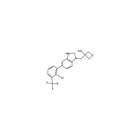 OC1(CN2CNc3cc(-c4cccc(C(F)(F)F)c4Cl)ccc32)COC1